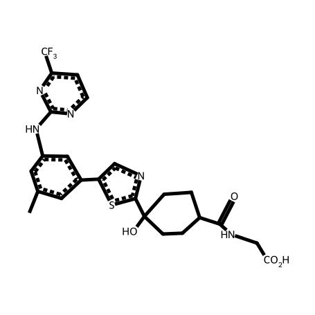 Cc1cc(Nc2nccc(C(F)(F)F)n2)cc(-c2cnc(C3(O)CCC(C(=O)NCC(=O)O)CC3)s2)c1